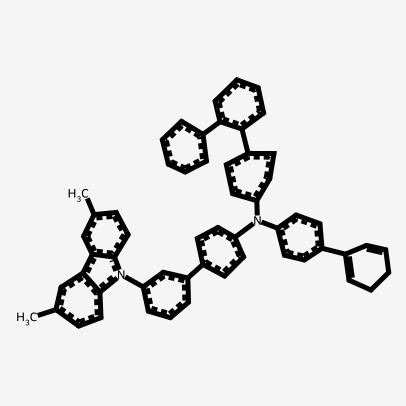 Cc1ccc2c(c1)c1cc(C)ccc1n2-c1cccc(-c2ccc(N(c3ccc(C4=CCCC=C4)cc3)c3ccc(-c4ccccc4-c4ccccc4)cc3)cc2)c1